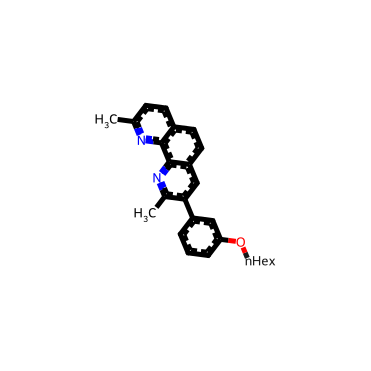 CCCCCCOc1cccc(-c2cc3ccc4ccc(C)nc4c3nc2C)c1